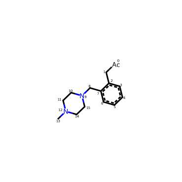 CC(=O)Cc1ccccc1CN1CCN(C)CC1